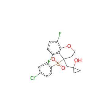 O=S(=O)(c1ccc(Cl)cc1)C1(CC2(O)CC2)CCOc2c(F)ccc(F)c21